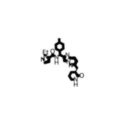 CCn1nccc1C(=O)N[C@H](c1cn2nc(C[C@@H]3CCCNC3=O)ccc2n1)C1CCC(C)CC1